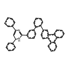 C1=C(c2ccccc2)N=C(c2cccc(-c3ccccc3-c3ccc4c5ccccc5c5ccccc5c4c3)c2)NC1c1ccccc1